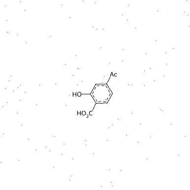 CC(=O)c1ccc(C(=O)O)c(O)c1